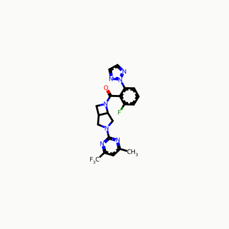 Cc1cc(C(F)(F)F)nc(N2CC3CN(C(=O)c4c(F)cccc4-n4nccn4)C3C2)n1